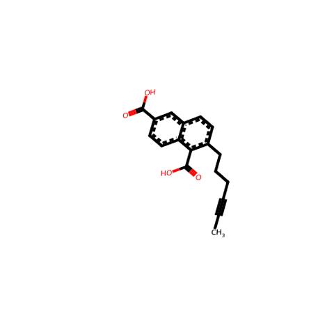 CC#CCCCc1ccc2cc(C(=O)O)ccc2c1C(=O)O